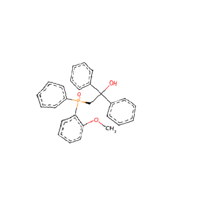 COc1ccccc1[P@](=O)(CC(O)(c1ccccc1)c1ccccc1)c1ccccc1